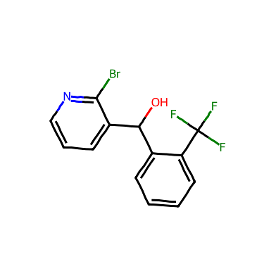 OC(c1ccccc1C(F)(F)F)c1cccnc1Br